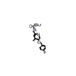 Cc1cc(/C=N/[S+]([O-])C(C)(C)C)ncc1OCc1ccc(F)cc1